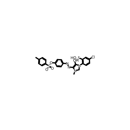 Cc1ccc(S(=O)(=O)Oc2ccc(N=NC3=C(O)N(c4ccc(Cl)cc4S(=O)(=O)O)CN3C)cc2)cc1